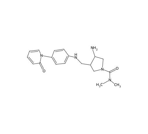 CN(C)C(=O)N1CC(N)C(CNc2ccc(-n3ccccc3=O)cc2)C1